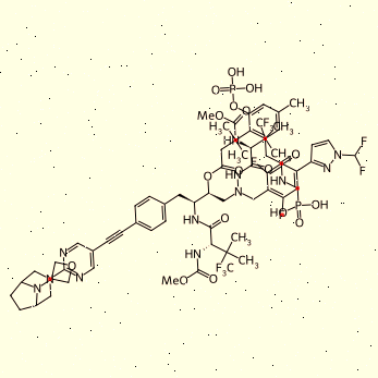 COC(=O)N[C@H](C(=O)N[C@@H](Cc1ccc(C#Cc2cnc(N3CC4CCC(C3)N4C3COC3)nc2)cc1)[C@H](CN(Cc1c(F)cc(-c2ccn(C(F)F)n2)cc1F)NC(=O)[C@@H](NC(=O)OC)C(C)(C)C(F)(F)F)OC(=O)CC(C)(C)c1c(CC(=O)NCP(=O)(O)O)cc(C)cc1OP(=O)(O)O)C(C)(C)C(F)(F)F